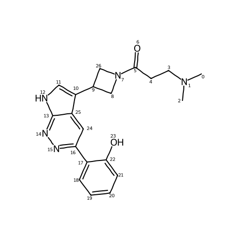 CN(C)CCC(=O)N1CC(c2c[nH]c3nnc(-c4ccccc4O)cc23)C1